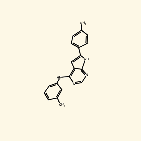 Cc1cccc(Nc2ncnc3[nH]c(-c4ccc(N)cc4)cc23)c1